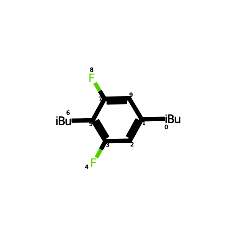 CCC(C)c1cc(F)c(C(C)CC)c(F)c1